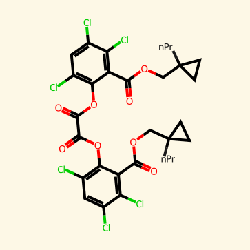 CCCC1(COC(=O)c2c(Cl)c(Cl)cc(Cl)c2OC(=O)C(=O)Oc2c(Cl)cc(Cl)c(Cl)c2C(=O)OCC2(CCC)CC2)CC1